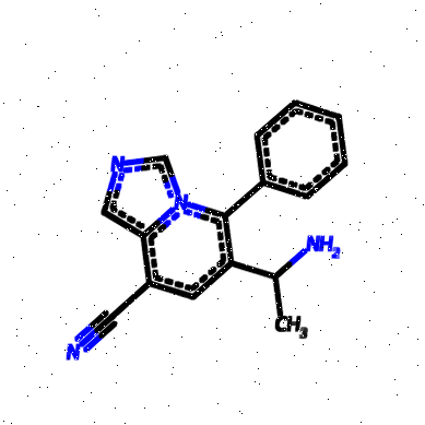 CC(N)c1cc(C#N)c2cncn2c1-c1ccccc1